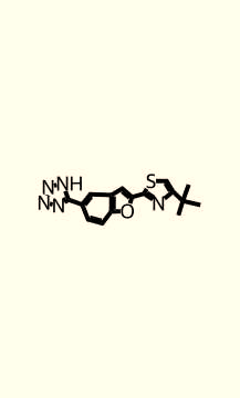 CC(C)(C)c1csc(-c2cc3cc(-c4nnn[nH]4)ccc3o2)n1